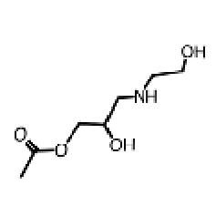 CC(=O)OCC(O)CNCCO